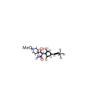 CON1CCC2(CC1)C(O)=C(c1c(C)cc(C#C[Si](C)(C)C)cc1C)C(=O)N2C